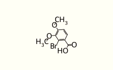 COc1ccc(C(=O)O)c(Br)c1OC